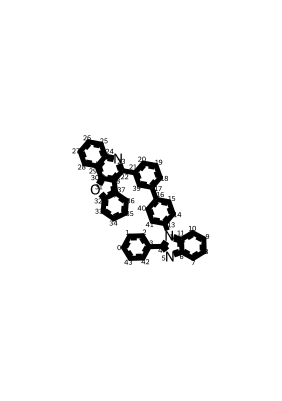 c1ccc(-c2nc3ccccc3n2-c2ccc(-c3cccc(-c4nc5ccccc5c5oc6ccccc6c45)c3)cc2)cc1